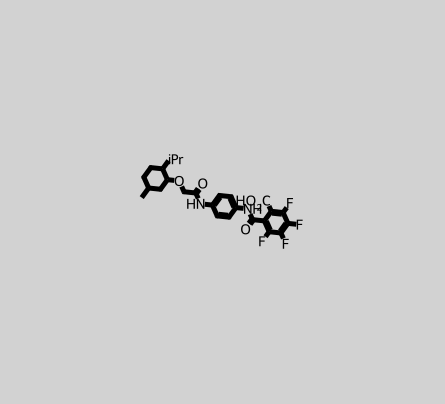 CC1CCC(C(C)C)C(OCC(=O)Nc2ccc(NC(=O)c3c(F)c(F)c(F)c(F)c3C(=O)O)cc2)C1